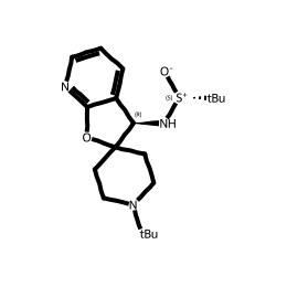 CC(C)(C)N1CCC2(CC1)Oc1ncccc1[C@H]2N[S@+]([O-])C(C)(C)C